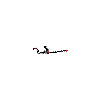 CC/C=C\C/C=C\C/C=C\C/C=C\CCCCCCC(=O)O[C@H](COCCCCCCCCCCCCCCCCCCCC)COP(=O)([O-])OCC[N+](C)(C)C